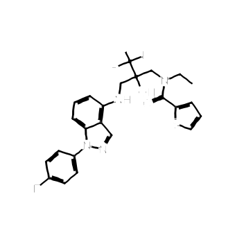 CCN(CC(O)(CNc1cccc2c1cnn2-c1ccc(F)cc1)C(F)(F)F)C(=O)c1cccs1